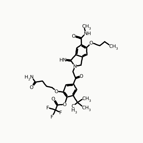 CCCOc1cc2c(cc1C(=O)NC)C(=N)N(CC(=O)c1cc(OCCCC(N)=O)c(OC(=O)C(F)(F)F)c(C(C)(C)C)c1)C2